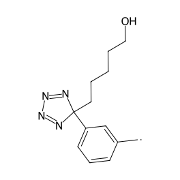 [CH2]c1cccc(C2(CCCCCO)N=NN=N2)c1